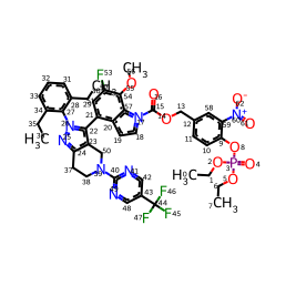 CCOP(=O)(OCC)Oc1ccc(COC(=O)n2ccc3c(-c4c5c(nn4-c4c(CC)cccc4CC)CCN(c4ncc(C(F)(F)F)cn4)C5)cc(F)c(OC)c32)cc1[N+](=O)[O-]